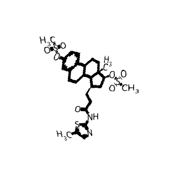 Cc1cnc(NC(=O)CC[C@@H]2C[C@H](OS(C)(=O)=O)[C@@]3(C)CCC4c5ccc(OS(C)(=O)=O)cc5CCC4C23)s1